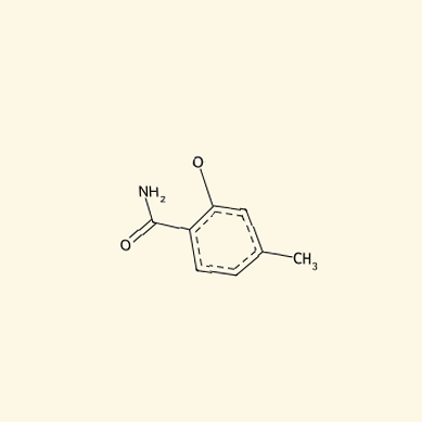 Cc1ccc(C(N)=O)c([O])c1